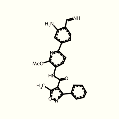 COc1nc(-c2ccc(C=N)c(N)c2)ccc1NC(=O)c1c(-c2ccccc2)noc1C